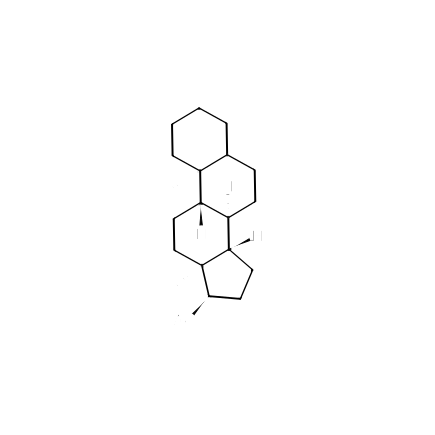 CC(=O)[C@@H]1CC[C@H]2[C@@H]3CCC4CCCC[C@]4(C)[C@H]3CC[C@]12C